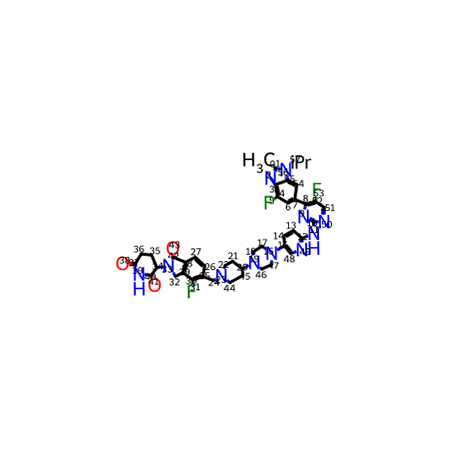 Cc1nc2c(F)cc(-c3nc(Nc4ccc(N5CCN(C6CCN(Cc7ccc8c(c7F)CN(C7CCC(=O)NC7=O)C8=O)CC6)CC5)cn4)ncc3F)cc2n1C(C)C